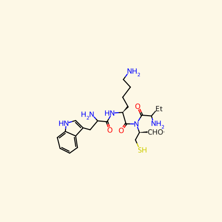 CCC(N)C(=O)N(C(=O)[C@H](CCCCN)NC(=O)C(N)Cc1c[nH]c2ccccc12)[C@@H]([C]=O)CS